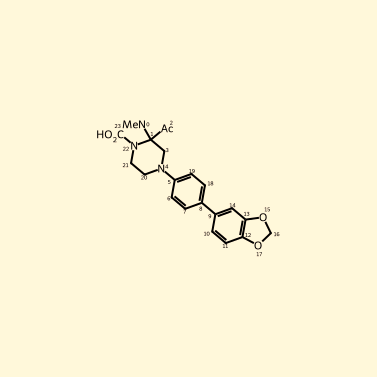 CNC1(C(C)=O)CN(c2ccc(-c3ccc4c(c3)OCO4)cc2)CCN1C(=O)O